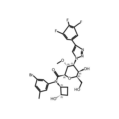 CO[C@@H]1[C@@H](n2cc(-c3cc(F)c(F)c(F)c3)nn2)[C@@H](O)[C@@H](CO)O[C@H]1C(=O)N(c1cc(C)cc(Br)c1)[C@H]1CC[C@@H]1O